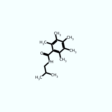 Cc1c(C)c(C)c(C(=O)PCC(C)C)c(C)c1C